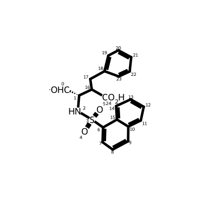 O=[C][C@@H](NS(=O)(=O)c1cccc2ccccc12)C(Cc1ccccc1)C(=O)O